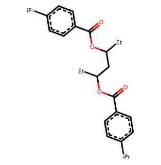 CCC(CC(CC)OC(=O)c1ccc(C(C)C)cc1)OC(=O)c1ccc(C(C)C)cc1